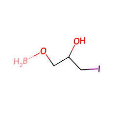 BOCC(O)CI